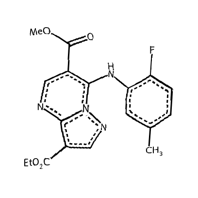 CCOC(=O)c1cnn2c(Nc3cc(C)ccc3F)c(C(=O)OC)cnc12